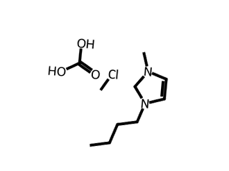 CCCCN1C=CN(C)C1.CCl.O=C(O)O